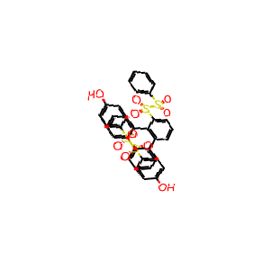 O=S(=O)(c1ccc(O)cc1)c1ccccc1-c1cccc(S(=O)(=O)S(=O)(=O)c2ccccc2)c1-c1ccccc1S(=O)(=O)c1ccc(O)cc1